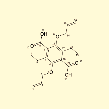 C=CCOc1c(CC)c(C(=O)O)c(OCC=C)c(CC)c1C(=O)O